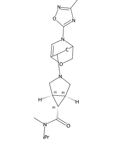 Cc1noc(N2C=C3OCC2CC3N2C[C@@H]3[C@H](C2)[C@H]3C(=O)N(C)C(C)C)n1